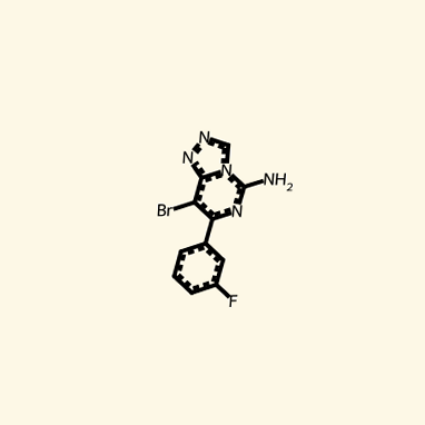 Nc1nc(-c2cccc(F)c2)c(Br)c2nncn12